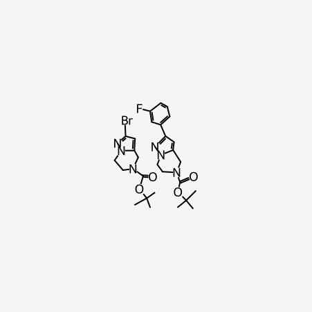 CC(C)(C)OC(=O)N1CCn2nc(-c3cccc(F)c3)cc2C1.CC(C)(C)OC(=O)N1CCn2nc(Br)cc2C1